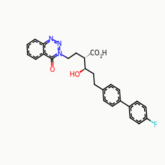 O=C(O)[C@@H](CCn1nnc2ccccc2c1=O)[C@H](O)CCc1ccc(-c2ccc(F)cc2)cc1